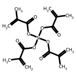 C=C(C)C(=O)O[Si](OC(=O)C(=C)C)(OC(=O)C(=C)C)OC(=O)C(=C)C